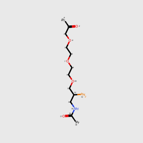 CC(C)C(=O)COCCOCCOCC(P)CNC(=O)C(C)C